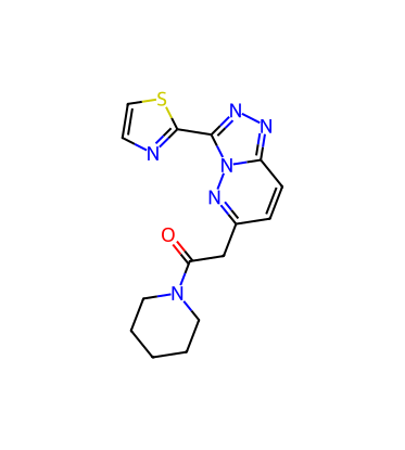 O=C(Cc1ccc2nnc(-c3nccs3)n2n1)N1CCCCC1